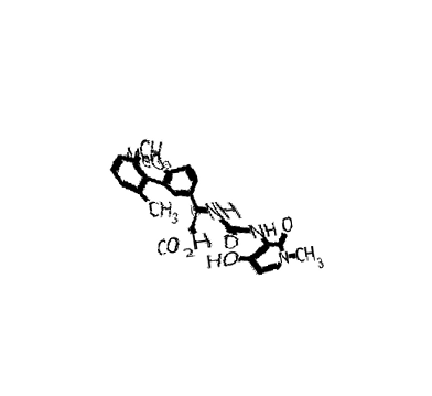 COc1ccc([C@H](CC(=O)O)NC(=O)Nc2c(O)ccn(C)c2=O)cc1-c1c(C)cccc1C